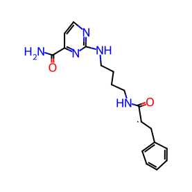 NC(=O)c1ccnc(NCCCCNC(=O)[CH]Cc2ccccc2)n1